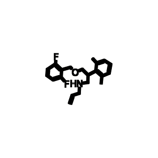 C=CCNCC(COCc1c(F)cccc1F)c1c(C)cccc1C